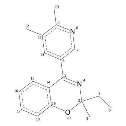 CCC1(C)N=C(c2cnc(C)c(C)c2)c2ccccc2O1